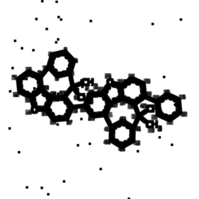 CC1(C)c2cccc(c2)-c2cccc3oc4ccc(-c5cc6c7c(c5)oc5ccc(-c8ccccc8)c(c57)C(C)(C)c5cccc-6c5)c1c4c23